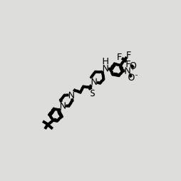 CC(C)(C)c1ccc(N2CCN(CCCC(=S)N3CCC(Nc4ccc([N+](=O)[O-])c(C(F)(F)F)c4)CC3)CC2)cc1